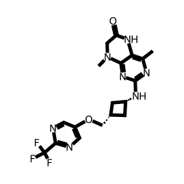 Cc1nc(N[C@H]2C[C@@H](COc3cnc(C(F)(F)F)nc3)C2)nc2c1NC(=O)CN2C